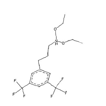 CCO[SiH](CCCc1cc(C(F)(F)F)cc(C(F)(F)F)c1)OCC